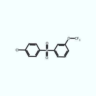 O=S(=O)(c1ccc(Cl)cc1)c1c[c]cc(OC(F)(F)F)c1